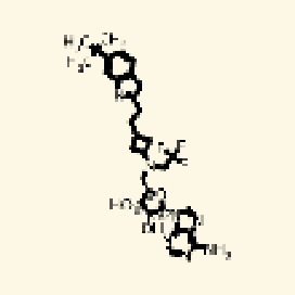 CC(C)(C)c1ccc2c(c1)N=C(CCC1CC(N(C[C@H]3O[C@@H](n4cnc5c(N)ncnc54)[C@H](O)[C@@H]3O)CC(F)(F)F)C1)C2